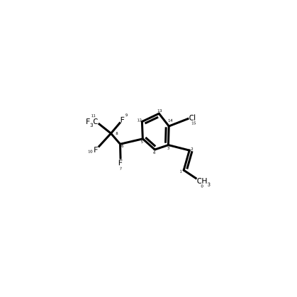 CC=Cc1cc(C(F)C(F)(F)C(F)(F)F)ccc1Cl